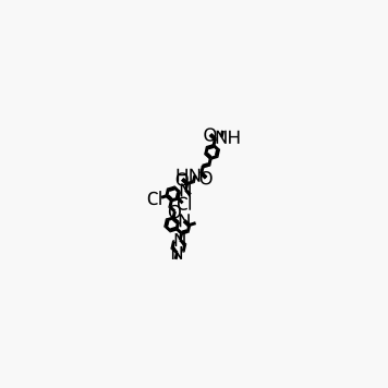 CNC(=O)c1ccc(C=CC(=O)NCC(=O)N(C)c2ccc(Cl)c(COc3cccc4c(N5CCN(C)CC5)cc(C)nc34)c2Cl)cc1